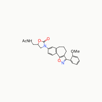 COc1ccccc1-c1noc2c1CCCc1cc(N3CC(CNC(C)=O)OC3=O)ccc1-2